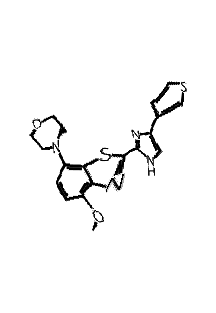 COc1ccc(N2CCOCC2)c2sc(-c3nc(-c4ccsc4)c[nH]3)nc12